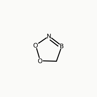 B1=NOOC1